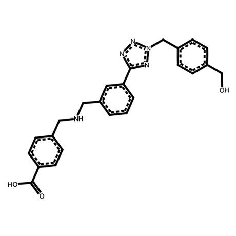 O=C(O)c1ccc(CNCc2cccc(-c3nnn(Cc4ccc(CO)cc4)n3)c2)cc1